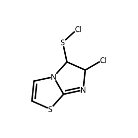 ClSC1C(Cl)N=C2SC=CN21